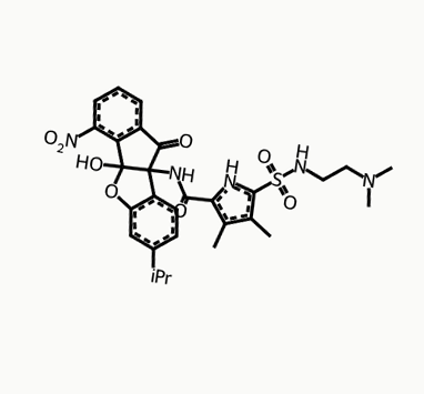 Cc1c(C(=O)NC23C(=O)c4cccc([N+](=O)[O-])c4C2(O)Oc2cc(C(C)C)ccc23)[nH]c(S(=O)(=O)NCCN(C)C)c1C